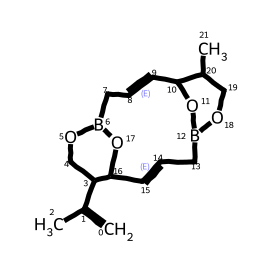 C=C(C)C1COB2C/C=C/C3OB(C/C=C/C1O2)OCC3C